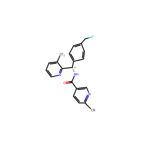 N#Cc1ccc(C(=O)N[C@@H](c2ccc(CF)cc2)c2ncccc2C(F)(F)F)cn1